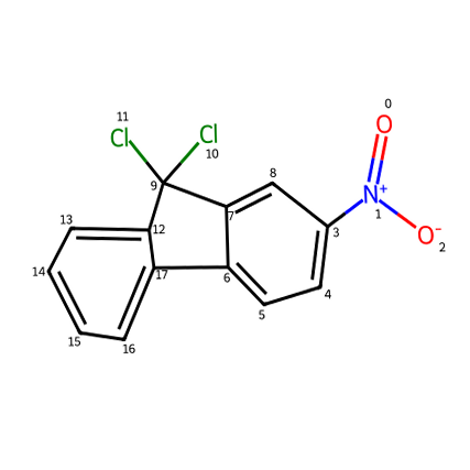 O=[N+]([O-])c1ccc2c(c1)C(Cl)(Cl)c1ccccc1-2